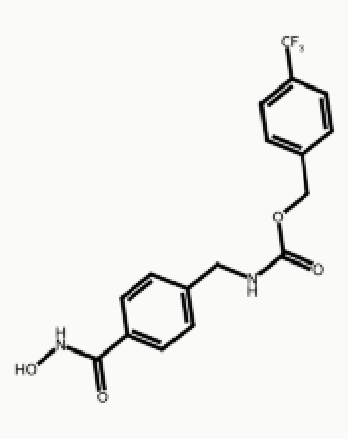 O=C(NCc1ccc(C(=O)NO)cc1)OCc1ccc(C(F)(F)F)cc1